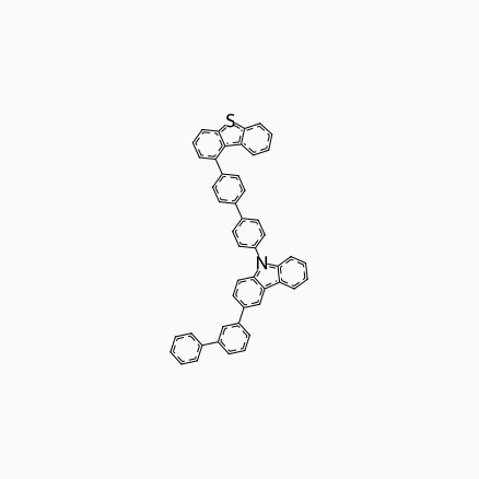 c1ccc(-c2cccc(-c3ccc4c(c3)c3ccccc3n4-c3ccc(-c4ccc(-c5cccc6sc7ccccc7c56)cc4)cc3)c2)cc1